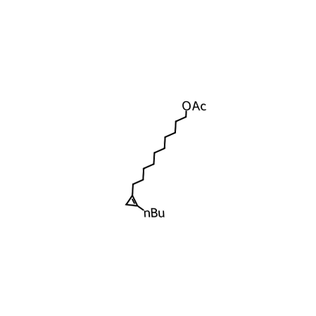 CCCCC1=C(CCCCCCCCCCOC(C)=O)C1